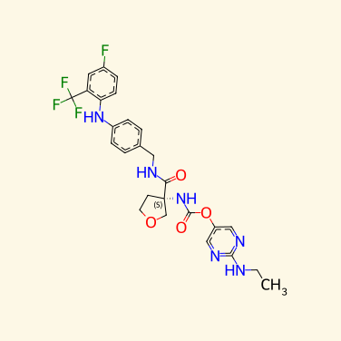 CCNc1ncc(OC(=O)N[C@@]2(C(=O)NCc3ccc(Nc4ccc(F)cc4C(F)(F)F)cc3)CCOC2)cn1